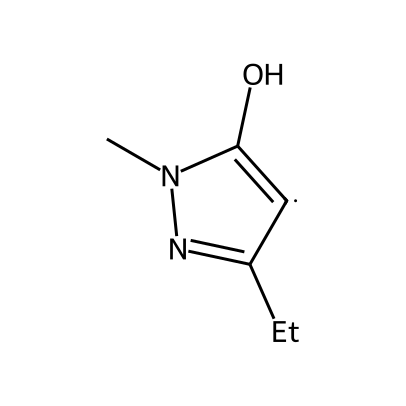 CCc1[c]c(O)n(C)n1